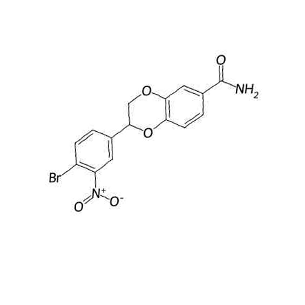 NC(=O)c1ccc2c(c1)OCC(c1ccc(Br)c([N+](=O)[O-])c1)O2